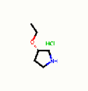 CCO[C@H]1CCNC1.Cl